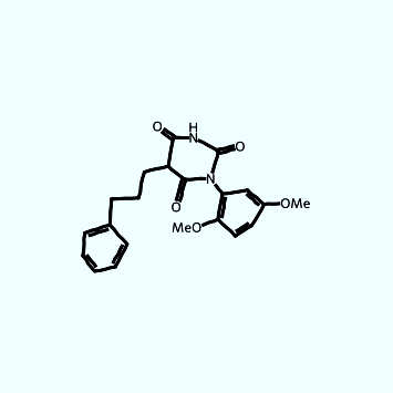 COc1ccc(OC)c(N2C(=O)NC(=O)C(CCCc3ccccc3)C2=O)c1